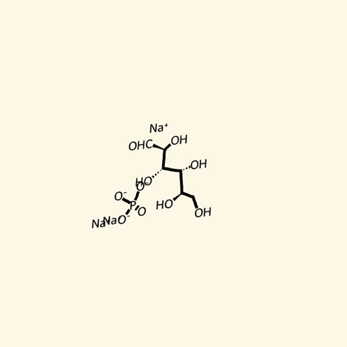 O=C[C@@H](O)[C@@H](O)[C@H](O)[C@H](O)CO.O=P([O-])([O-])[O-].[Na+].[Na+].[Na+]